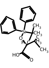 CC(C)[C@H](O[Si](c1ccccc1)(c1ccccc1)C(C)(C)C)C(=O)O